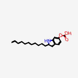 CCCCCCCCCCCC1Cc2ccc(OC(=O)O)cc2N1